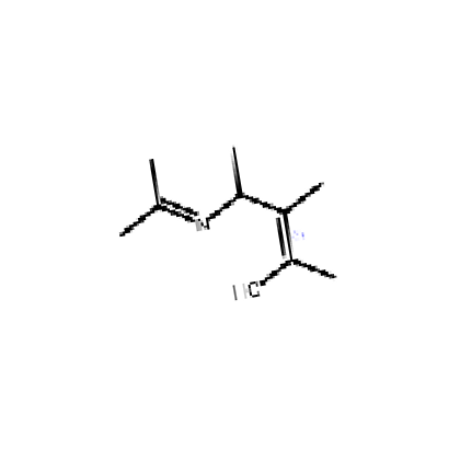 CC(C)=NC(C)/C(C)=C(/C)O